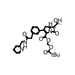 C[C@@H](O)[C@H]1C(=O)N2C(C(=O)OCOC(=O)C(C)(C)C)=C(c3cccc(CC(=O)NCc4ccccn4)c3)C[C@H]12